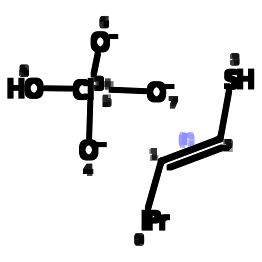 CC(C)/C=C/S.[O-][Cl+3]([O-])([O-])O